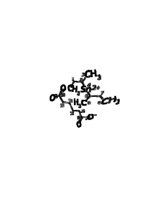 CC[CH](C)[Sn+2][CH](C)CC.O=C([O-])CCCCC(=O)[O-]